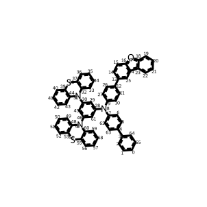 c1ccc(-c2ccc(N(c3ccc(-c4ccc5oc6ccccc6c5c4)cc3)c3cc(N4c5ccccc5Sc5ccccc54)cc(N4c5ccccc5Sc5ccccc54)c3)cc2)cc1